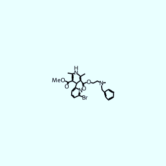 COC(=O)C1=C(C)NC(C)=C(C(=O)OCCN(C)Cc2ccccc2)C1c1cccc(Br)n1